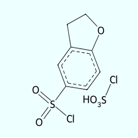 O=S(=O)(Cl)c1ccc2c(c1)CCO2.O=S(=O)(O)Cl